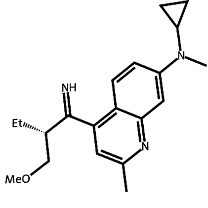 CC[C@@H](COC)C(=N)c1cc(C)nc2cc(N(C)C3CC3)ccc12